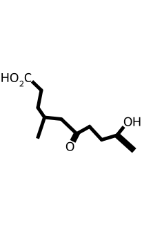 C=C(O)CCC(=O)CC(C)CCC(=O)O